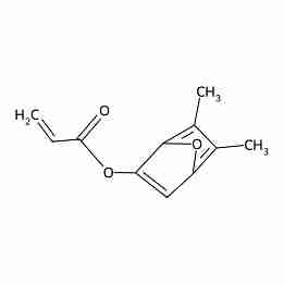 C=CC(=O)Oc1cc2oc1c(C)c2C